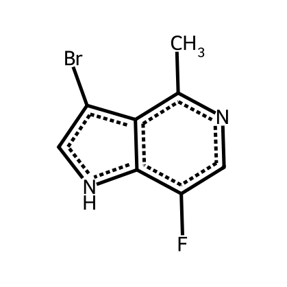 Cc1ncc(F)c2[nH]cc(Br)c12